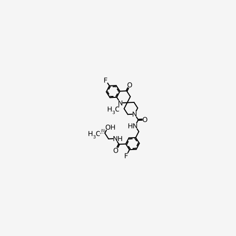 C[C@H](O)CNC(=O)c1cc(CNC(=O)N2CCC3(CC2)CC(=O)c2cc(F)ccc2N3C)ccc1F